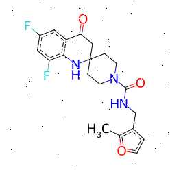 Cc1occc1CNC(=O)N1CCC2(CC1)CC(=O)c1cc(F)cc(F)c1N2